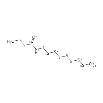 CCCC(=O)NCSSCCCSSC